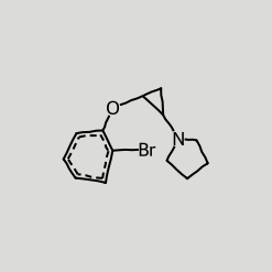 Brc1ccccc1OC1CC1N1CCCC1